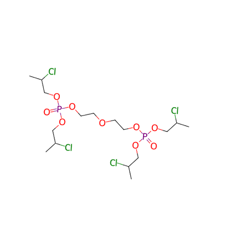 CC(Cl)COP(=O)(OCCOCCOP(=O)(OCC(C)Cl)OCC(C)Cl)OCC(C)Cl